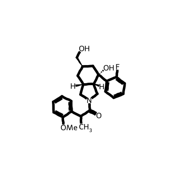 COc1ccccc1C(C)C(=O)N1C[C@@H]2C[C@@H](CO)C[C@@](O)(c3ccccc3F)[C@@H]2C1